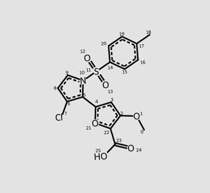 COc1cc(-c2c(Cl)ccn2S(=O)(=O)c2ccc(C)cc2)oc1C(=O)O